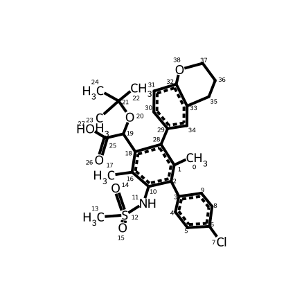 Cc1c(-c2ccc(Cl)cc2)c(NS(C)(=O)=O)c(C)c(C(OC(C)(C)C)C(=O)O)c1-c1ccc2c(c1)CCCO2